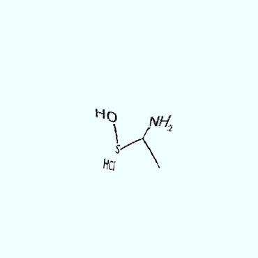 CC(N)SO.Cl